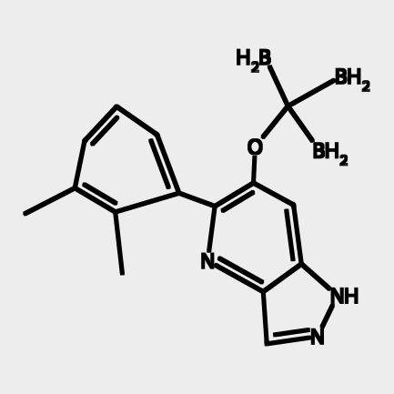 BC(B)(B)Oc1cc2[nH]ncc2nc1-c1cccc(C)c1C